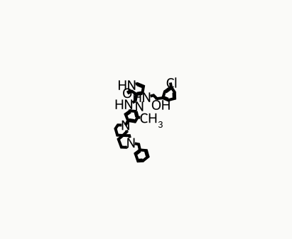 Cc1cc(N2CCCC3(CCCN(Cc4ccccc4)C3)C2)cc2[nH]c(-c3c(NCC(O)c4cccc(Cl)c4)cc[nH]c3=O)nc12